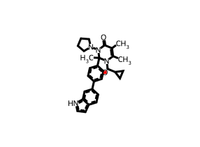 CC1=C(C)N(C(=O)C2CC2)C(C)(c2ccc(-c3ccc4cc[nH]c4c3)cc2)N(N2CCCC2)C1=O